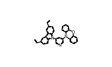 C=Cc1ccc2c(c1)c1cc(C=C)ccc1n2-c1cncc(N2c3ccccc3Oc3ccccc32)c1